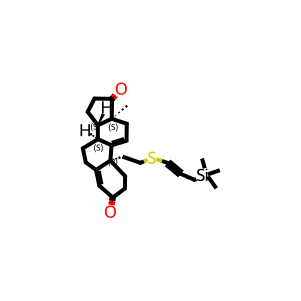 C[C@]12CC=C3[C@@H](CCC4=CC(=O)CC[C@@]43CCSC#CC[Si](C)(C)C)[C@@H]1CCC2=O